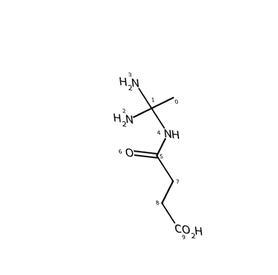 CC(N)(N)NC(=O)CCC(=O)O